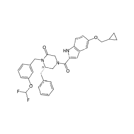 O=C(c1cc2cc(OCC3CC3)ccc2[nH]1)N1CC(=O)N(Cc2cccc(OC(F)F)c2)[C@@H](Cc2ccccc2)C1